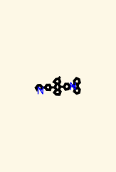 Cc1ccc2c(-c3ccc(-c4ccccn4)cc3)c3ccccc3c(-c3ccc(-n4c5ccccc5c5ccccc54)cc3)c2c1